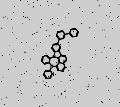 c1ccc(-c2cccc(-c3ccc4c(c3)c3ccc5cccc6c5c3n4c3ccccc3n6-c3ccccn3)c2)cc1